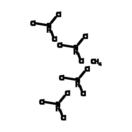 C.Cl[SiH](Cl)Cl.Cl[SiH](Cl)Cl.Cl[SiH](Cl)Cl.Cl[SiH](Cl)Cl